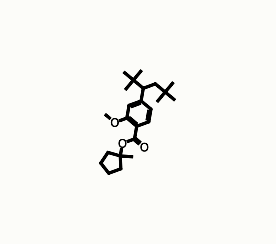 COc1cc(C(CC(C)(C)C)C(C)(C)C)ccc1C(=O)OC1(C)CCCC1